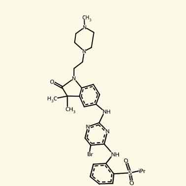 CC(C)S(=O)(=O)c1ccccc1Nc1nc(Nc2ccc3c(c2)C(C)(C)C(=O)N3CCN2CCN(C)CC2)ncc1Br